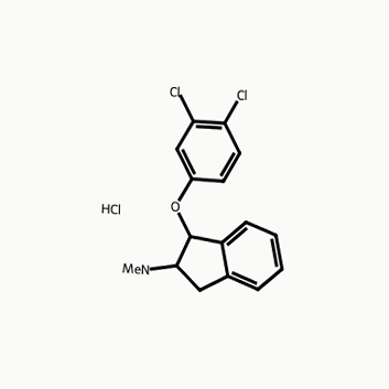 CNC1Cc2ccccc2C1Oc1ccc(Cl)c(Cl)c1.Cl